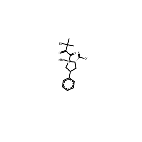 CCCC[N+]1(C(=O)C(=O)C(C)(C)CC)CC(c2ccccc2)C[C@H]1C([O-])=S